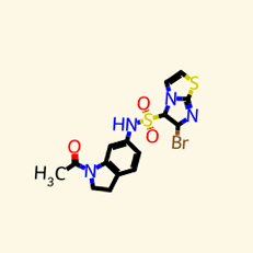 CC(=O)N1CCc2ccc(NS(=O)(=O)C3C(Br)N=C4SC=CN43)cc21